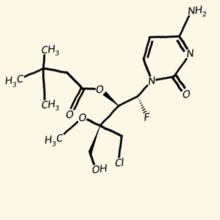 CO[C@@](CO)(CCl)[C@@H](OC(=O)CC(C)(C)C)[C@@H](F)n1ccc(N)nc1=O